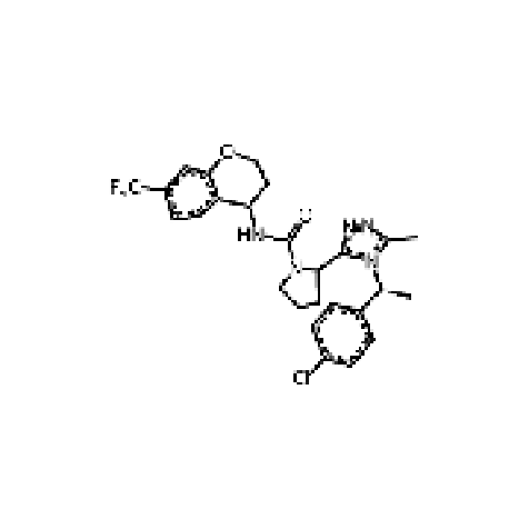 Cc1nnc(C2CCCN2C(=O)NC2CCOc3cc(C(F)(F)F)ccc32)n1[C@@H](C)c1ccc(Cl)cc1